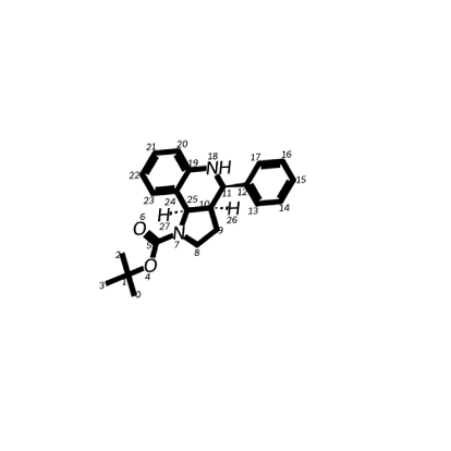 CC(C)(C)OC(=O)N1CC[C@@H]2[C@H](c3ccccc3)Nc3ccccc3[C@@H]21